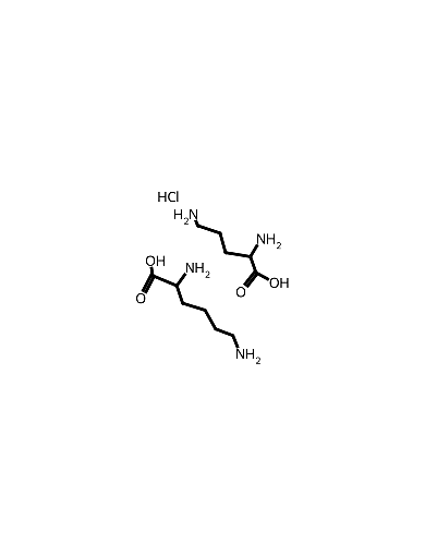 Cl.NCCCC(N)C(=O)O.NCCCCC(N)C(=O)O